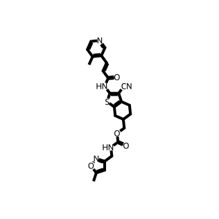 Cc1cc(CNC(=O)OCC2CCc3c(sc(NC(=O)C=Cc4cnccc4C)c3C#N)C2)no1